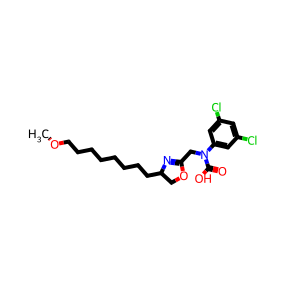 COCCCCCCCCC1COC(CN(C(=O)O)c2cc(Cl)cc(Cl)c2)=N1